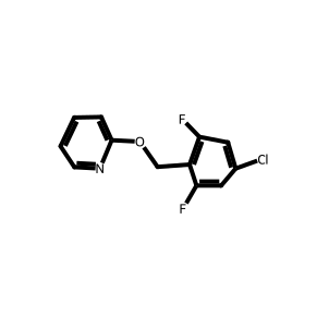 Fc1cc(Cl)cc(F)c1COc1ccccn1